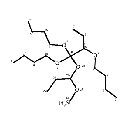 CCCCOC(CC)C(OCCCC)(OCCCC)OC(CC)O[SiH3]